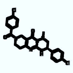 CN1C[C@@H](c2ccc(Cl)cc2)Nc2nc3c(c(=O)n21)CN(C(=O)c1ccc(Cl)cc1)CC3